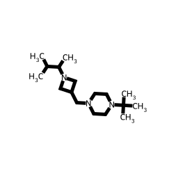 CC(C)C(C)N1CC(CN2CCN(C(C)(C)C)CC2)C1